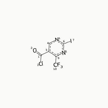 O=C(Cl)c1cnc(I)nc1C(F)(F)F